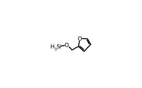 [SiH3]OCc1ccco1